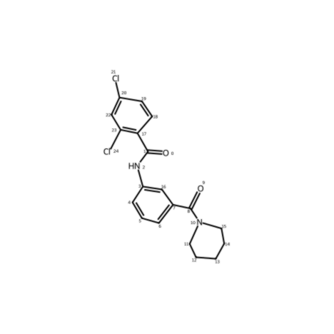 O=C(Nc1cccc(C(=O)N2CCCCC2)c1)c1ccc(Cl)cc1Cl